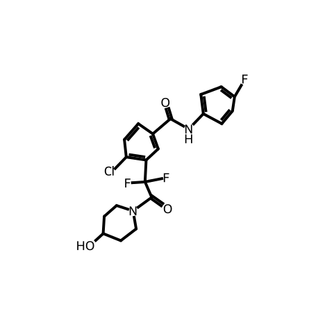 O=C(Nc1ccc(F)cc1)c1ccc(Cl)c(C(F)(F)C(=O)N2CCC(O)CC2)c1